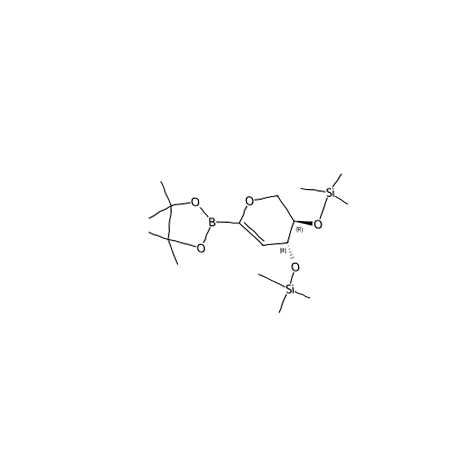 CC1(C)OB(C2=C[C@@H](O[Si](C)(C)C)[C@H](O[Si](C)(C)C)CO2)OC1(C)C